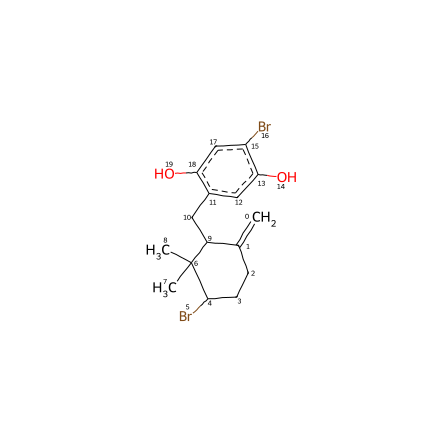 C=C1CCC(Br)C(C)(C)C1Cc1cc(O)c(Br)cc1O